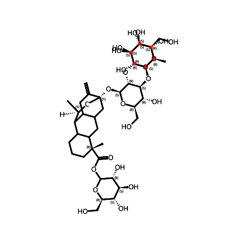 C=C1CC2C3CC4C(CCC[C@@]4(C)C(=O)OC4O[C@H](CO)[C@@H](O)[C@H](O)[C@H]4O)C2[C@@H](C)C[C@]1(O[C@@H]1O[C@H](CO)[C@@H](O)[C@H](O[C@@H]2O[C@H](CO)[C@@H](O)[C@H](O)[C@H]2O)[C@H]1O[C@H]1O[C@H](C)[C@@H](O)[C@H](O)[C@@H]1O)C3